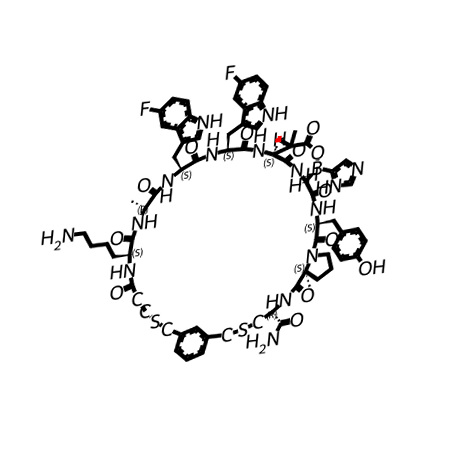 C[C@H]1NC(=O)[C@H](CCCCN)NC(=O)CCSCc2cccc(c2)CSC[C@@H](C(N)=O)NC(=O)[C@]2(C)CCCN2C(=O)[C@H](Cc2ccc(O)cc2)NC(=O)[C@H]2NC(=O)[C@@H](NC(=O)[C@H](Cc3c[nH]c4ccc(F)cc34)NC(=O)[C@H](Cc3c[nH]c4ccc(F)cc34)NC1=O)C(C)(C)C(=O)OB2c1cnc[nH]1